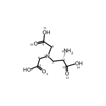 N[C@@H](CN(CC(=O)O)CC(=O)O)C(=O)O